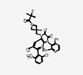 CC(C)c1ccnc(C(C)C)c1-n1c(=O)c(=O)n(CC2(F)CN(C(=O)C(C)(C)F)C2)c2cc(Cl)c(-c3c(O)cccc3Cl)nc21